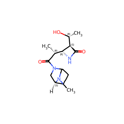 C[C@@H](O)[C@H]1C(=O)N[C@@H]1[C@@H](C)C(=O)N1C[C@@H]2CCC1CN2C